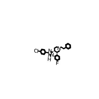 Fc1ccc([C@@H]2CN(CCc3ccccc3)CC[C@H]2c2n[nH]c(-c3ccc(Cl)cc3)n2)cc1